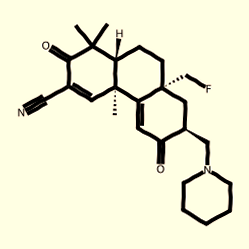 CC1(C)C(=O)C(C#N)=C[C@]2(C)C3=CC(=O)[C@H](CN4CCCCC4)C[C@]3(CF)CC[C@@H]12